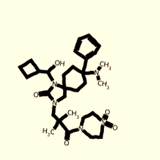 CN(C)C1(c2ccccc2)CCC2(CC1)CN(CC(C)(C)C(=O)N1CCS(=O)(=O)CC1)C(=O)N2C(O)C1CCC1